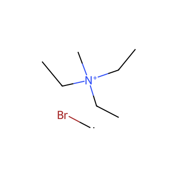 CC[N+](C)(CC)CC.[CH2]Br